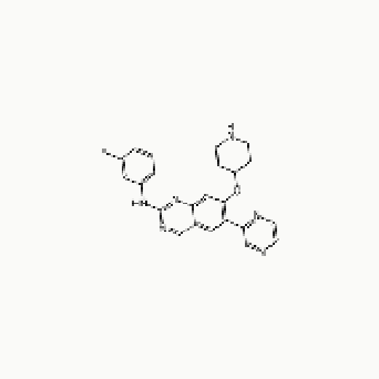 Fc1cccc(Nc2ncc3cc(-c4cnccn4)c(OC4CCNCC4)cc3n2)c1